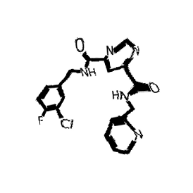 O=C(NCc1ccc(F)c(Cl)c1)c1cc(C(=O)NCc2ccccn2)ncn1